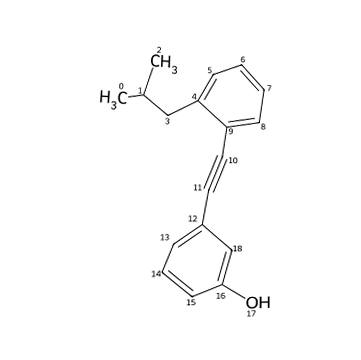 CC(C)Cc1ccccc1C#Cc1cccc(O)c1